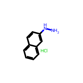 Cl.NNc1ccc2ccccc2c1